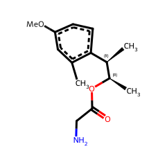 COc1ccc([C@@H](C)[C@@H](C)OC(=O)CN)c(C)c1